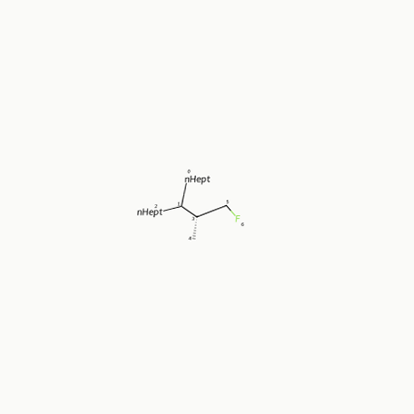 CCCCCCCC(CCCCCCC)[C@@H](C)CF